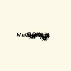 COC(=O)Cc1ccc(N(C)C(=O)CCN2CCC(OC(=O)Nc3ccccc3-c3ccccc3)CC2)cc1